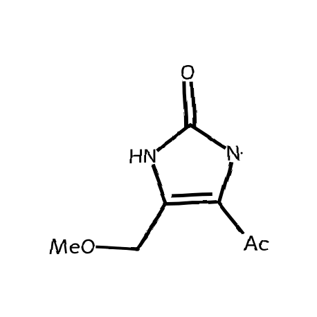 COCC1=C(C(C)=O)[N]C(=O)N1